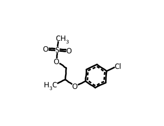 CC(COS(C)(=O)=O)Oc1ccc(Cl)cc1